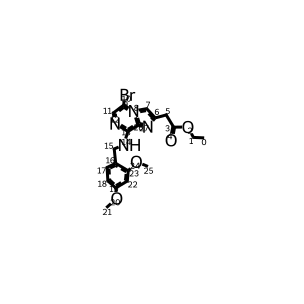 CCOC(=O)Cc1cn2c(Br)cnc(NCc3ccc(OC)cc3OC)c2n1